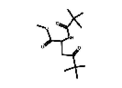 COC(=O)C(CC(=O)C(C)(C)C)NC(=O)C(C)(C)C